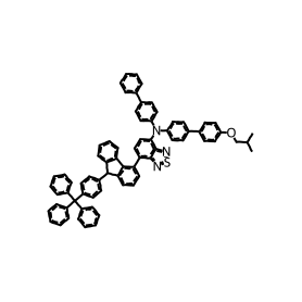 CC(C)COc1ccc(-c2ccc(N(c3ccc(-c4ccccc4)cc3)c3ccc(-c4cccc5c4-c4ccccc4C5c4ccc(C(c5ccccc5)(c5ccccc5)c5ccccc5)cc4)c4nsnc34)cc2)cc1